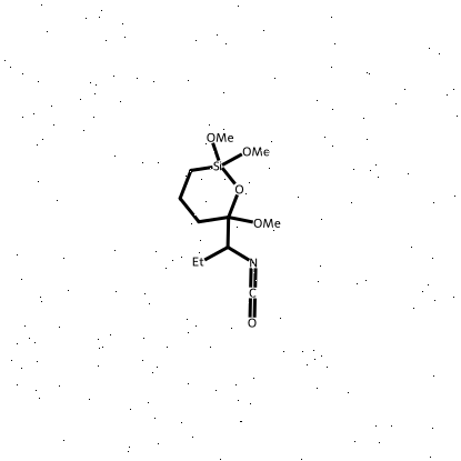 CCC(N=C=O)C1(OC)CCC[Si](OC)(OC)O1